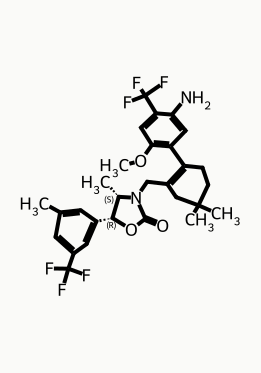 COc1cc(C(F)(F)F)c(N)cc1C1=C(CN2C(=O)O[C@H](c3cc(C)cc(C(F)(F)F)c3)[C@@H]2C)CC(C)(C)CC1